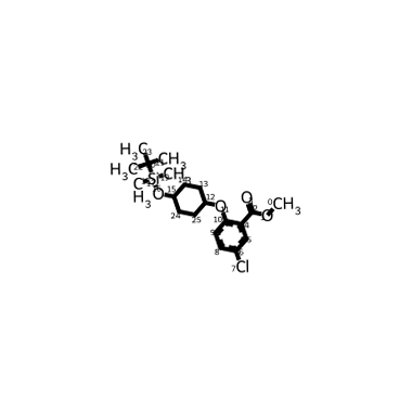 COC(=O)c1cc(Cl)ccc1OC1CCC(O[Si](C)(C)C(C)(C)C)CC1